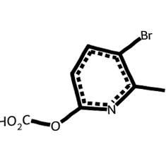 Cc1nc(OC(=O)O)ccc1Br